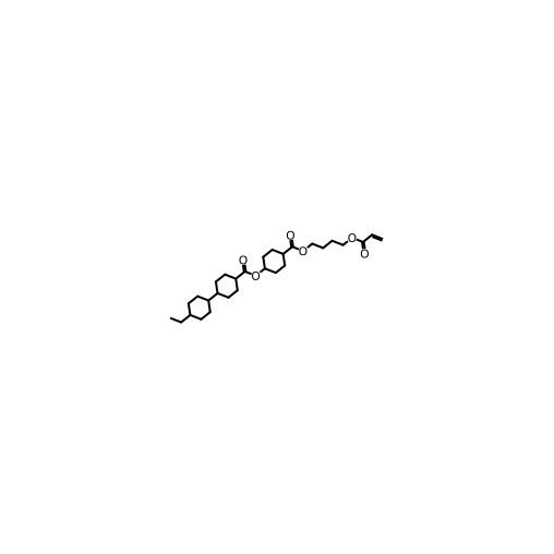 C=CC(=O)OCCCCOC(=O)C1CCC(OC(=O)C2CCC(C3CCC(CC)CC3)CC2)CC1